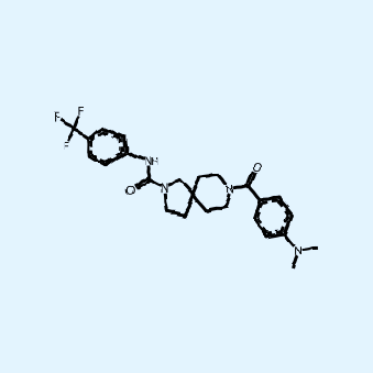 CN(C)c1ccc(C(=O)N2CCC3(CCN(C(=O)Nc4ccc(C(F)(F)F)cc4)C3)CC2)cc1